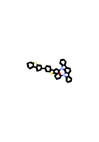 c1ccc(-n2c3ccccc3c3ccc4c5ccccc5n(-c5ccc6sc7cc(-c8ccc9c(c8)sc8ccccc89)ccc7c6c5)c4c32)cc1